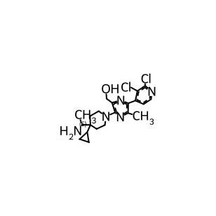 Cc1nc(N2CCC(C3CC3)([C@H](C)N)CC2)c(CO)nc1-c1ccnc(Cl)c1Cl